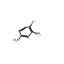 Nc1ccc(F)c(N)c1